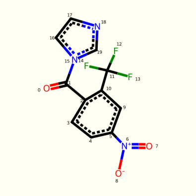 O=C(c1ccc([N+](=O)[O-])cc1C(F)(F)F)n1ccnc1